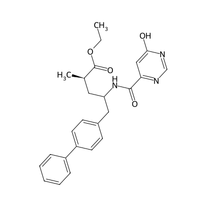 CCOC(=O)[C@H](C)CC(Cc1ccc(-c2ccccc2)cc1)NC(=O)c1cc(O)ncn1